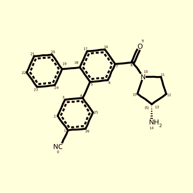 N#Cc1ccc(-c2cc(C(=O)N3CC[C@H](N)C3)ccc2-c2cc[c]cc2)cc1